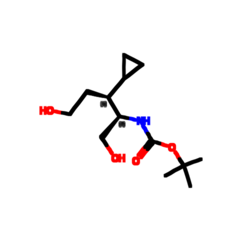 CC(C)(C)OC(=O)N[C@@H](CO)[C@@H](CCO)C1CC1